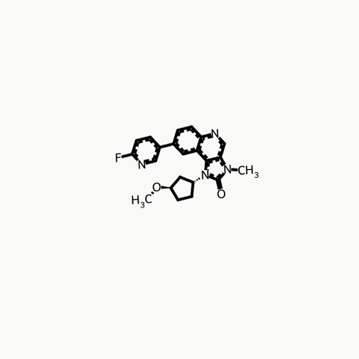 CO[C@@H]1CC[C@@H](n2c(=O)n(C)c3cnc4ccc(-c5ccc(F)nc5)cc4c32)C1